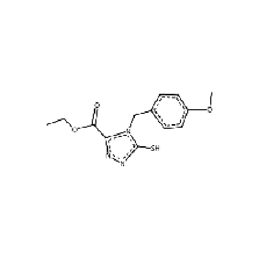 CCOC(=O)c1nnc(S)n1Cc1ccc(OC)cc1